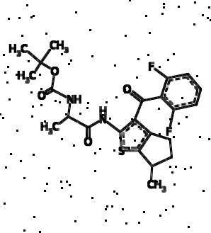 CC(NC(=O)OC(C)(C)C)C(=O)Nc1sc2c(c1C(=O)c1c(F)cccc1F)CCC2C